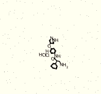 Cl.Cl.NCC(C(=O)Nc1ccc(Oc2cn[nH]c2)cc1)c1ccccc1